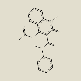 CC(=O)Oc1c(C(=O)N(C)c2ccccc2)c(=O)n(C)c2ccccc12